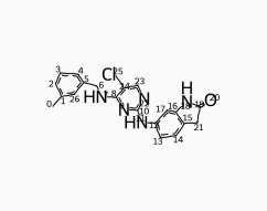 Cc1cccc(CNc2nc(Nc3ccc4c(c3)NC(=O)C4)ncc2Cl)c1